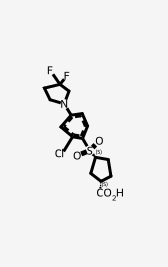 O=C(O)[C@H]1CC[C@H](S(=O)(=O)c2ccc(N3CCC(F)(F)C3)cc2Cl)C1